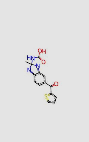 CC1(NC(=O)O)N=c2ccc(C(=O)c3cccs3)cc2=N1